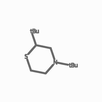 CC(C)(C)C1CN(C(C)(C)C)CCS1